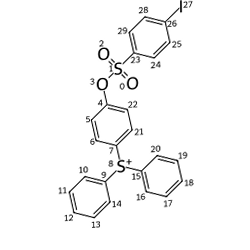 O=S(=O)(Oc1ccc([S+](c2ccccc2)c2ccccc2)cc1)c1ccc(I)cc1